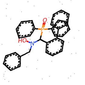 O=P(c1ccccc1)(c1ccccc1)C(c1ccccc1-c1ccccc1)N(O)Cc1ccccc1